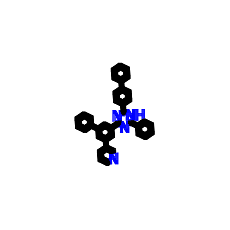 c1ccc(-c2ccc(C3=NC(c4cc(-c5ccccc5)cc(-c5cccnc5)c4)=NC(c4ccccc4)N3)cc2)cc1